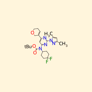 Cc1cc(C)n(-c2nc(C3=CCCOC3)cc(N(C(=O)OC(C)(C)C)C3CCC(F)(F)CC3)n2)n1